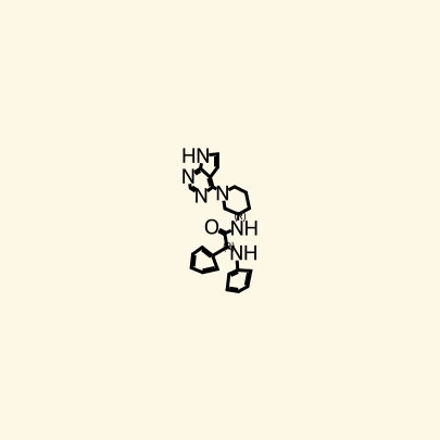 O=C(N[C@@H]1CCCN(c2ncnc3[nH]ccc23)C1)[C@H](Nc1ccccc1)c1ccccc1